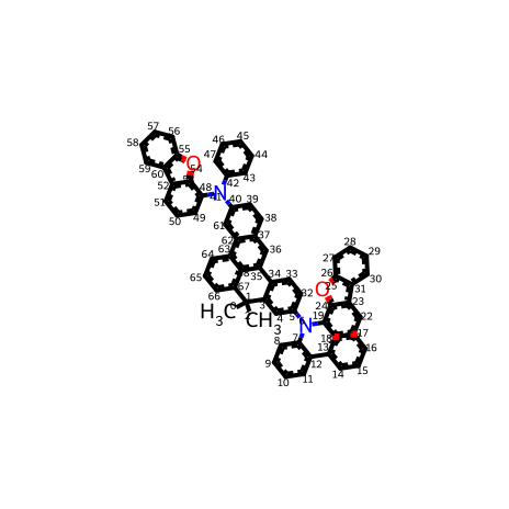 CC1(C)c2cc(N(c3ccccc3-c3ccccc3)c3cccc4c3oc3ccccc34)ccc2-c2cc3ccc(N(c4ccccc4)c4cccc5c4oc4ccccc45)cc3c3cccc1c23